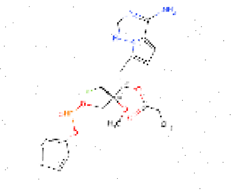 CCC(=O)O[C@@H](Cc1ccc2c(N)ncnn12)[C@@](CF)(CO[PH](=O)Oc1ccccc1)OC